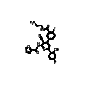 N#Cc1c(-c2ccc(F)c(C(=O)NCCN)c2)cc(-c2ccc(F)cc2O)nc1NC(=O)c1ccco1